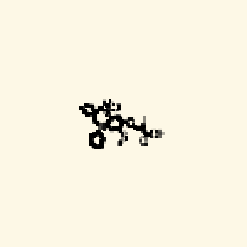 CCC1(CC)CN(c2ccccc2)c2cc(SC)c(OC=C(F)C(=O)O)cc2S(=O)(=O)C1